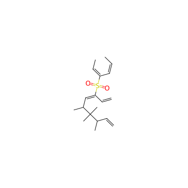 C=C/C(=C\C(C)C(C)(C)C(C)C=C)S(=O)(=O)C(/C=C\C)=C/C